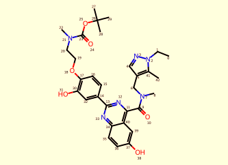 CCn1ncc(CN(C)C(=O)c2nc(-c3ccc(OCCN(C)C(=O)OC(C)(C)C)c(O)c3)nc3ccc(O)cc23)c1C